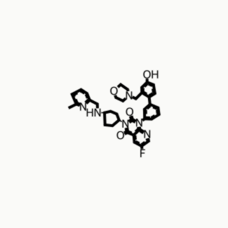 Cc1cccc(CN[C@H]2CC[C@@H](n3c(=O)c4cc(F)cnc4n(-c4cccc(-c5ccc(O)cc5CN5CCOCC5)c4)c3=O)CC2)n1